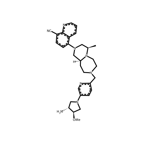 CO[C@@H]1CN(c2ccc(CN3CC[C@H]4CN(c5ccc(C#N)c6ncccc56)C[C@@H](C)N4CC3)nc2)C[C@H]1N